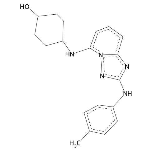 Cc1ccc(Nc2nc3cccc(NC4CCC(O)CC4)n3n2)cc1